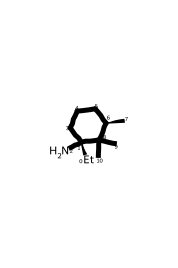 CC[C@@]1(N)CCC[C@@H](C)C1(C)C